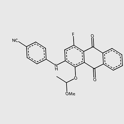 COC(C)Oc1c(Nc2ccc(C#N)cc2)cc(F)c2c1C(=O)c1ccccc1C2=O